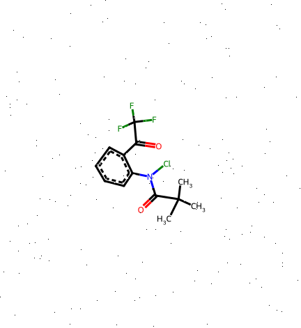 CC(C)(C)C(=O)N(Cl)c1ccccc1C(=O)C(F)(F)F